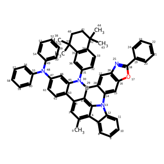 Cc1cc2c3c4c1c1ccccc1n4-c1cc4oc(-c5ccccc5)nc4cc1B3N(c1ccc3c(c1)C(C)(C)CCC3(C)C)c1cc(N(c3ccccc3)c3ccccc3)ccc1-2